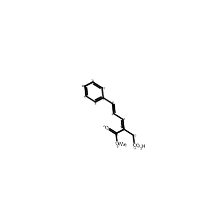 COC(=O)C(=CC=Cc1ccccc1)CC(=O)O